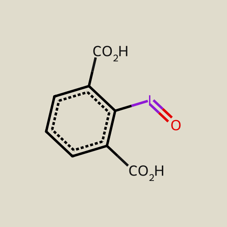 O=Ic1c(C(=O)O)cccc1C(=O)O